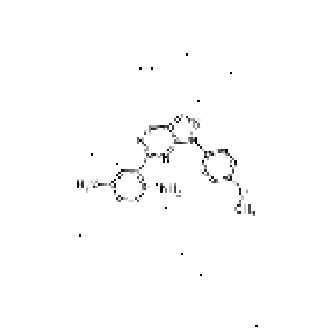 COc1ccc(-n2ncc3cnc(-c4cc(N)ccc4N)nc32)cc1